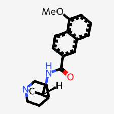 COc1cccc2cc(C(=O)N[C@H]3CN4CCC3CC4)ccc12